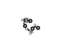 O=C(N[C@@H](Cc1ccc(OCCn2c(=O)sc3cc(C(=O)c4ccccc4)ccc32)cc1)C(=O)O)c1ccccc1